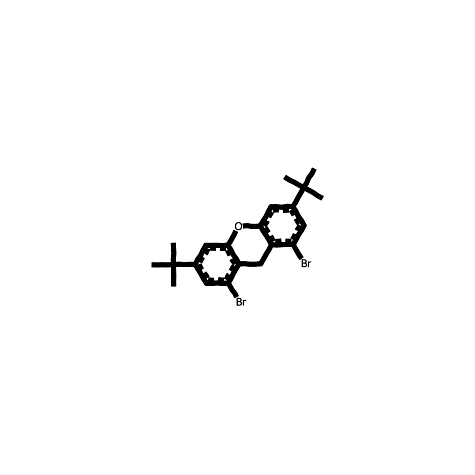 CC(C)(C)c1cc(Br)c2c(c1)Oc1cc(C(C)(C)C)cc(Br)c1C2